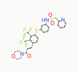 O=C(C=Cc1ccc(Sc2cccc(NS(=O)(=O)Cc3ccccn3)c2)c(C(F)(F)F)c1C(F)(F)F)N1CCOCC1